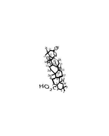 CC1(C)CC[C@]2(C(=O)O)CC[C@]3(C)C(=CC[C@@H]4[C@@]5(C)CC[C@]6(OC(=O)CC(C)(C)C6=O)C(C)(C)[C@@H]5CC[C@]43C)[C@@H]2C1